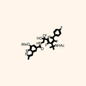 COc1cc(C(=O)NCC(O)(c2nc(-c3ccc(F)cc3)c(F)c(C(C)(C)NC(C)=O)c2F)C(F)(F)F)cc2cc(C)nnc12